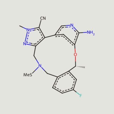 CSN1Cc2ccc(F)cc2[C@@H](C)Oc2cc(cnc2N)-c2c(nn(C)c2C#N)C1